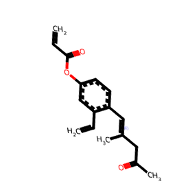 C=CC(=O)Oc1ccc(/C=C(\C)CC(C)=O)c(C=C)c1